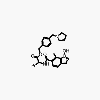 Cc1c(C(=O)NC(C(=O)OCc2ccc(CN3CCCC3)cc2)C(C)C)ccc2c1B(O)OC2